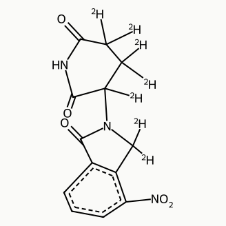 [2H]C1([2H])c2c(cccc2[N+](=O)[O-])C(=O)N1C1([2H])C(=O)NC(=O)C([2H])([2H])C1([2H])[2H]